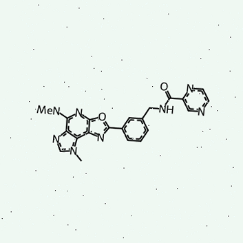 CNc1nc2oc(-c3cccc(CNC(=O)c4cnccn4)c3)nc2c2c1ncn2C